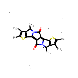 Cc1c(C(C)C)sc2c1C(C)N1C(=O)C3=C4c5sc(C(C)(C)C)c(C)c5C(C)N4C(=O)C3=C21